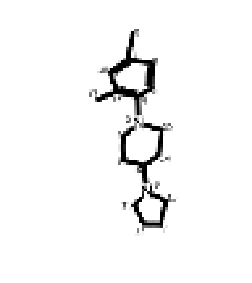 Cc1ccc(N2CCC(N3CCCC3)CC2)c(C)c1